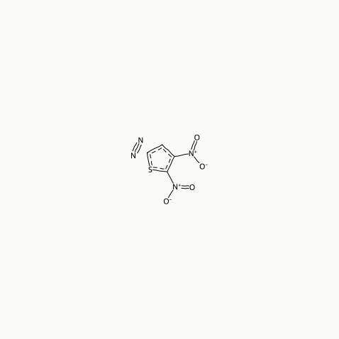 N#N.O=[N+]([O-])c1ccsc1[N+](=O)[O-]